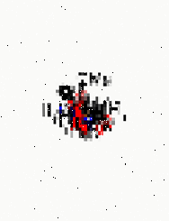 COCCOCOc1c(OC)c(C)cc2c1[C@@H]1C3[C@@H]4SC[C@H](NC(=O)OCc5ccccc5)C(=O)OC[C@@H](c5c6c(c(C)c(OC(C)=O)c54)OCO6)N3[C@@H](C#N)[C@H](C2)N1C